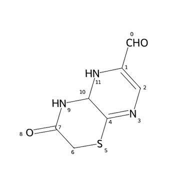 O=CC1=CN=C2SCC(=O)NC2N1